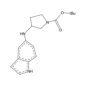 CC(C)(C)OC(=O)N1CCC(Nc2ccc3[nH]ccc3c2)C1